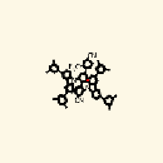 Cc1cc(C)cc(-c2ccc3c(c2)c2cc(-c4cc(C)cc(C)c4)ccc2n3-c2cc(C#N)ccc2-c2ccc(-c3ccc(C#N)cc3C(F)(F)F)cc2-n2c3ccc(-c4cc(C)cc(C)c4)cc3c3cc(-c4cc(C)cc(C)c4)ccc32)c1